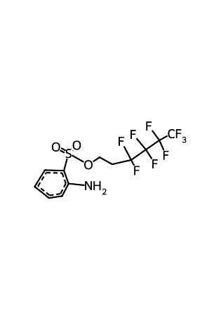 Nc1ccccc1S(=O)(=O)OCCC(F)(F)C(F)(F)C(F)(F)C(F)(F)F